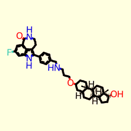 C[C@]12CCC(OCCCNCc3ccc(-c4[nH]c5cc(F)cc6c5c4CCNC6=O)cc3)C[C@@H]1CC[C@@H]1[C@@H]2CC[C@]2(C)[C@@H](O)CC[C@@H]12